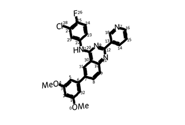 COc1cc(OC)cc(-c2ccc3nc(-c4cccnc4)nc(Nc4ccc(F)c(Cl)c4)c3c2)c1